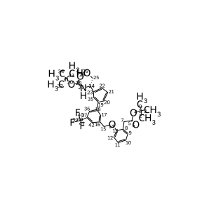 CC(C)(C)OC(=O)Cc1ccccc1OCc1cc(-c2cccc([C@@H](CO)NC(=O)OC(C)(C)C)c2)cc(C(F)(F)F)c1